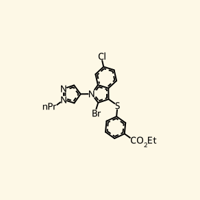 CCCn1cc(-n2c(Br)c(Sc3cccc(C(=O)OCC)c3)c3ccc(Cl)cc32)cn1